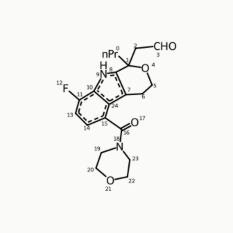 CCCC1(CC=O)OCCc2c1[nH]c1c(F)ccc(C(=O)N3CCOCC3)c21